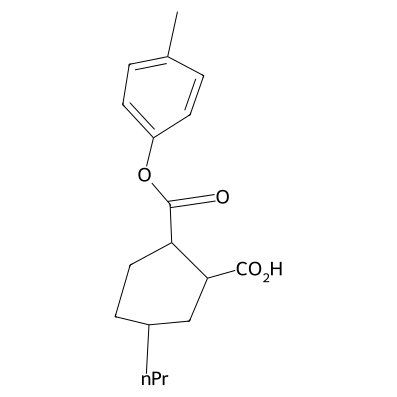 CCCC1CCC(C(=O)Oc2ccc(C)cc2)C(C(=O)O)C1